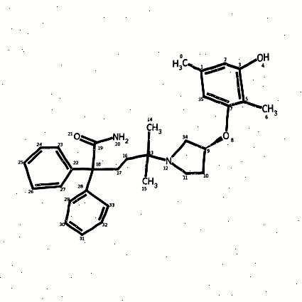 Cc1cc(O)c(C)c(O[C@H]2CCN(C(C)(C)CCC(C(N)=O)(c3ccccc3)c3ccccc3)C2)c1